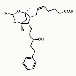 CCCCB1O[C@@H]2C[C@@H](O1)[C@H](CC[C@@H](O)CCc1ccccc1)[C@H]2C/C=C\CCCC(=O)O